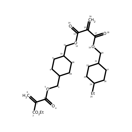 C=C(C(=O)OCC)C(=O)OCC1CCC(COC(=O)C(=C)C(=O)OCC2CCC(CC)CC2)CC1